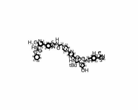 Cc1ncc(-c2ccc3nc(NC(=O)CN4CCN(c5cnc(C(=O)N[C@H](C(=O)N6C[C@H](O)C[C@H]6C(=O)NCc6ccc(-c7scnc7C)cc6)C(C)(C)C)cn5)CC4)sc3c2)cc1NC(=O)OC1CCCCC1